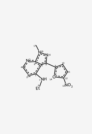 CCNc1ncnc2c1c(-c1ccc([N+](=O)[O-])o1)nn2C